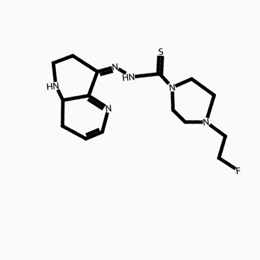 FCCN1CCN(C(=S)N/N=C2/CCNC3CC=CN=C23)CC1